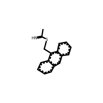 CC(=N)SCc1c2ccccc2cc2ccccc12